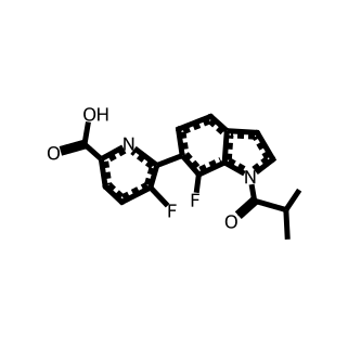 CC(C)C(=O)n1ccc2ccc(-c3nc(C(=O)O)ccc3F)c(F)c21